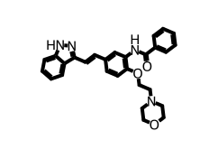 O=C(Nc1cc(C=Cc2n[nH]c3ccccc23)ccc1OCCN1CCOCC1)c1ccccc1